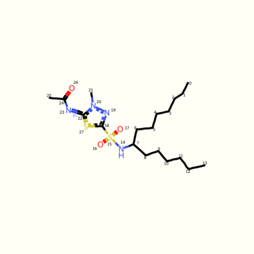 CCCCCCCC(CCCCCC)NS(=O)(=O)c1nn(C)/c(=N\C(C)=O)s1